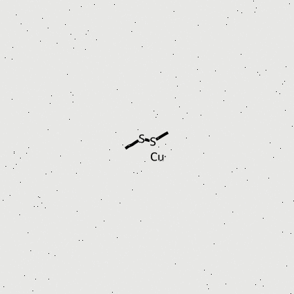 CSSC.[Cu]